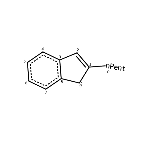 CCCCCC1=Cc2ccccc2[C]1